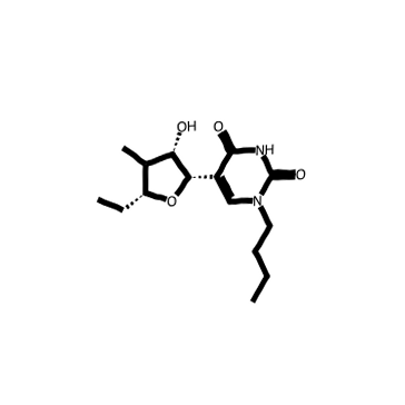 CCCCn1cc([C@@H]2O[C@H](CC)C(C)[C@@H]2O)c(=O)[nH]c1=O